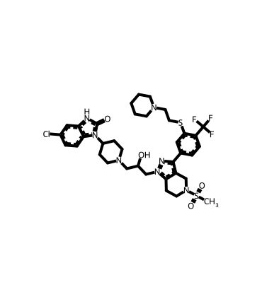 CS(=O)(=O)N1CCc2c(c(-c3ccc(C(F)(F)F)c(SCCN4CCCCC4)c3)nn2CC(O)CN2CCC(n3c(=O)[nH]c4cc(Cl)ccc43)CC2)C1